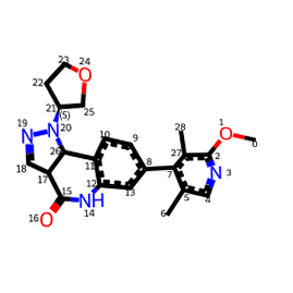 COc1ncc(C)c(-c2ccc3c(c2)NC(=O)C2C=NN([C@H]4CCOC4)C32)c1C